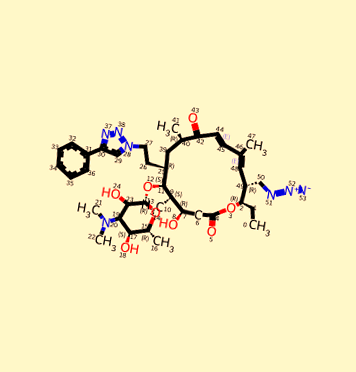 CC[C@H]1OC(=O)C[C@@H](O)[C@H](C)[C@@H](O[C@@H]2O[C@H](C)[C@@H](O)C(N(C)C)C2O)[C@@H](CCn2cc(-c3ccccc3)nn2)C[C@@H](C)C(=O)/C=C/C(C)=C/[C@@H]1CN=[N+]=[N-]